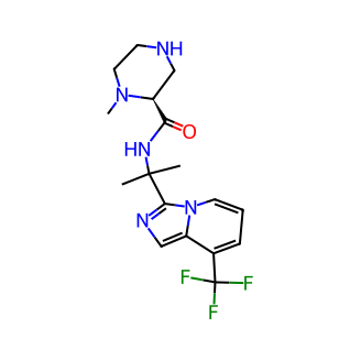 CN1CCNC[C@H]1C(=O)NC(C)(C)c1ncc2c(C(F)(F)F)cccn12